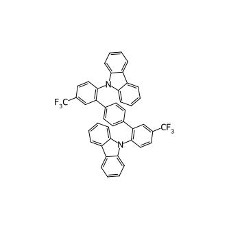 FC(F)(F)c1ccc(-n2c3ccccc3c3ccccc32)c(-c2ccc(-c3cc(C(F)(F)F)ccc3-n3c4ccccc4c4ccccc43)cc2)c1